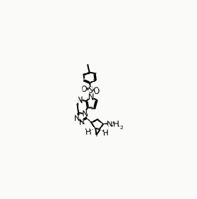 Cc1ccc(S(=O)(=O)n2ccc3c2ncc2nnc([C@H]4C[C@@H](N)[C@H]5C[C@H]54)n23)cc1